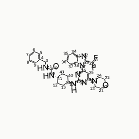 O=C(NCc1ccccc1)N[C@H]1CC[C@H](Nc2nc(N3CCOCC3)cc(-n3c(C(F)F)nc4ccccc43)n2)CC1